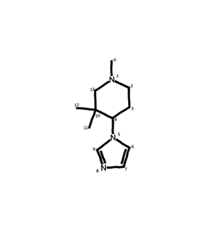 CN1CCC(n2ccnc2)C(C)(C)C1